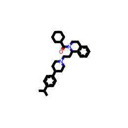 CC(C)c1ccc(C2CCN(CCC3c4ccccc4CCN3C(=O)C3CCCCC3)CC2)cc1